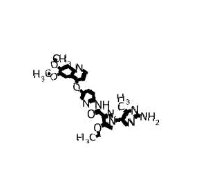 CCOc1cn(-c2cnc(N)nc2C)nc1C(=O)Nc1ccc(Oc2ccnc3cc(OC)c(OC)cc23)cn1